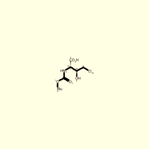 CC(C)(C)OC(=O)N[C@H](C(=O)O)[C@H](O)CCl